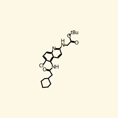 CC(C)(C)OC(=O)CNc1ccc2c(NC(=O)CC3CCCCC3)c(Cl)ccc2n1